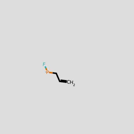 C=CC[P]F